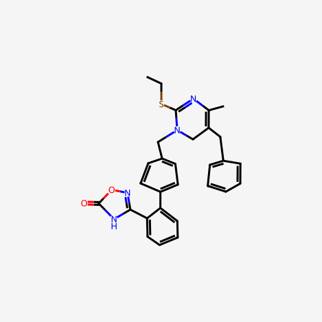 CCSC1=NC(C)=C(Cc2ccccc2)CN1Cc1ccc(-c2ccccc2-c2noc(=O)[nH]2)cc1